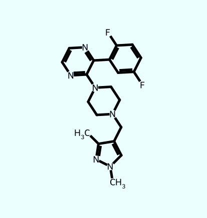 Cc1nn(C)cc1CN1CCN(c2nccnc2-c2cc(F)ccc2F)CC1